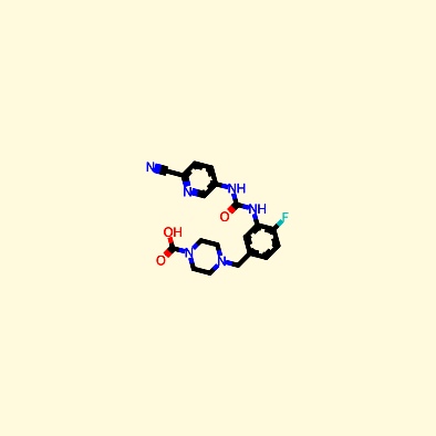 N#Cc1ccc(NC(=O)Nc2cc(CN3CCN(C(=O)O)CC3)ccc2F)cn1